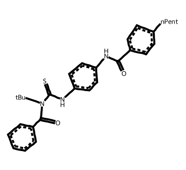 CCCCCc1ccc(C(=O)Nc2ccc(NC(=S)N(C(=O)c3ccccc3)C(C)(C)C)cc2)cc1